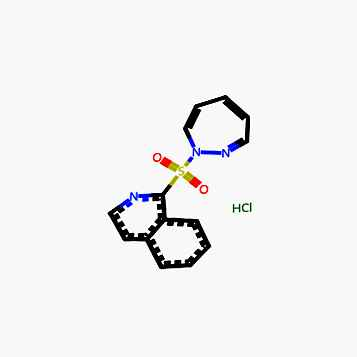 Cl.O=S(=O)(c1nccc2ccccc12)N1C=CC=CC=N1